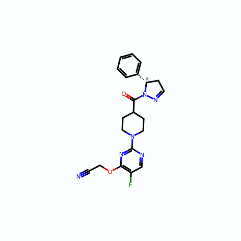 N#CCOc1nc(N2CCC(C(=O)N3N=CC[C@H]3c3ccccc3)CC2)ncc1F